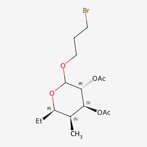 CC[C@H]1OC(OCCCBr)[C@H](OC(C)=O)[C@@H](OC(C)=O)[C@H]1C